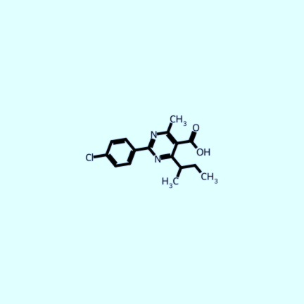 CCC(C)c1nc(-c2ccc(Cl)cc2)nc(C)c1C(=O)O